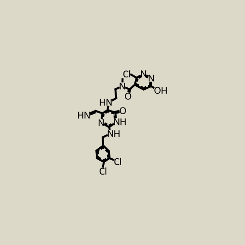 CN(CCNc1c(C=N)nc(NCc2ccc(Cl)c(Cl)c2)[nH]c1=O)C(=O)c1cc(O)nnc1Cl